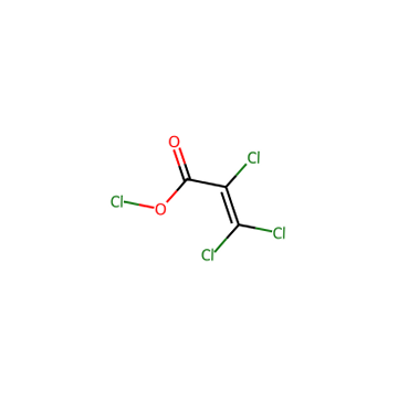 O=C(OCl)C(Cl)=C(Cl)Cl